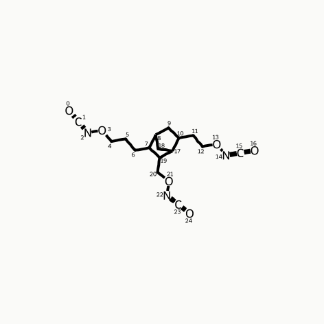 O=C=NOCCCC1C2CC(CCON=C=O)C(C2)C1CON=C=O